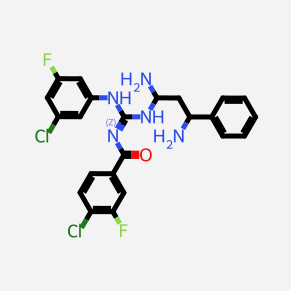 NC(CC(N)c1ccccc1)N/C(=N\C(=O)c1ccc(Cl)c(F)c1)Nc1cc(F)cc(Cl)c1